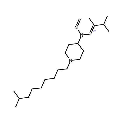 C=NN(/C=C(\C)C(C)C)C1CCN(CCCCCCCC(C)C)CC1